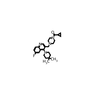 CC1(C)CCN(c2c(CN3CCN(C(=O)C4CC4)CC3)cnc3ccc(F)cc23)CC1